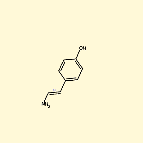 N/C=C/c1ccc(O)cc1